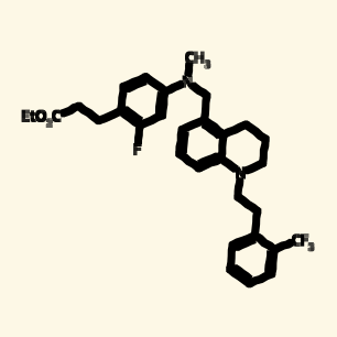 CCOC(=O)CCc1ccc(N(C)Cc2cccc3c2CCCN3CCc2ccccc2C(F)(F)F)cc1F